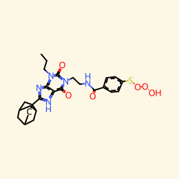 CCCn1c(=O)n(CCNC(=O)c2ccc(SOOO)cc2)c(=O)c2[nH]c(C34CC5CC(CC3C5)C4)nc21